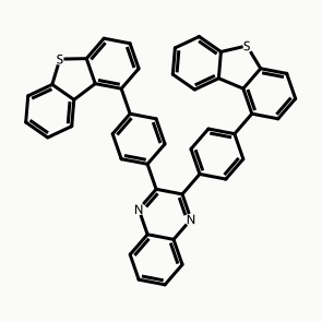 c1ccc2nc(-c3ccc(-c4cccc5sc6ccccc6c45)cc3)c(-c3ccc(-c4cccc5sc6ccccc6c45)cc3)nc2c1